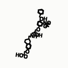 CS(=O)(=O)Nc1cc(OC[C@@H](O)CNCC2CCc3cc(OCC(=O)O)ccc3C2)ccc1OCc1ccccc1